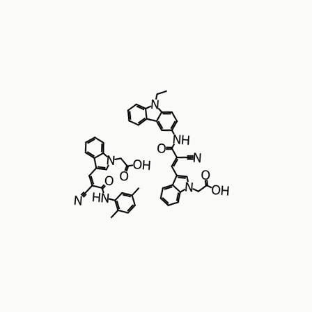 CCn1c2ccccc2c2cc(NC(=O)C(C#N)=Cc3cn(CC(=O)O)c4ccccc34)ccc21.Cc1ccc(C)c(NC(=O)C(C#N)=Cc2cn(CC(=O)O)c3ccccc23)c1